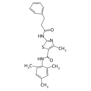 Cc1cc(C)c(NC(=O)c2sc(NC(=O)CCc3ccccc3)nc2C)c(C)c1